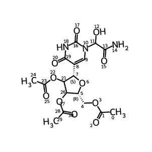 CC(=O)OC[C@H]1O[C@@H](c2cn(C(O)C(N)=O)c(=O)[nH]c2=O)C(OC(C)=O)C1OC(C)=O